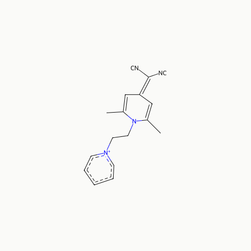 [C-]#[N+]C([N+]#[C-])=C1C=C(C)N(CC[n+]2ccccc2)C(C)=C1